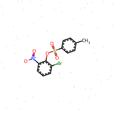 Cc1ccc(S(=O)(=O)Oc2c(Br)cccc2[N+](=O)[O-])cc1